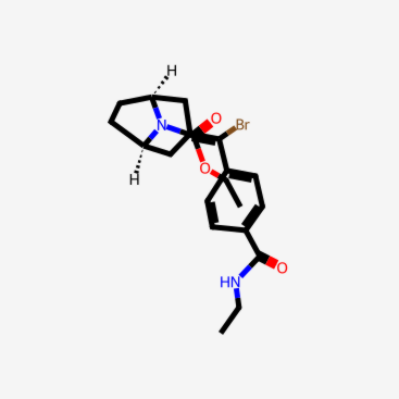 CCNC(=O)c1ccc(C(Br)=C2C[C@H]3CC[C@@H](C2)N3C(=O)OCC)cc1